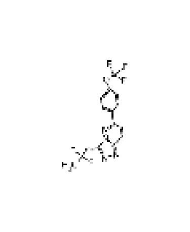 CC(F)(F)Cc1nnc2ccc(-c3ccc(OC(F)(F)F)cc3)nn12